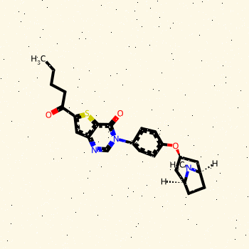 CCCCC(=O)c1cc2ncn(-c3ccc(O[C@H]4C[C@H]5CC[C@@H](C4)N5C)cc3)c(=O)c2s1